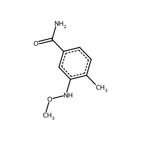 CONc1cc(C(N)=O)ccc1C